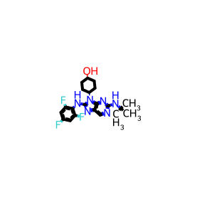 CC(C)(C)Nc1ncc2nc(Nc3c(F)cc(F)cc3F)n([C@H]3CC[C@@H](O)CC3)c2n1